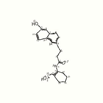 O=C(CCc1ccc2cc(O)ccc2c1)NC1=C(C(=O)O)CCCC1